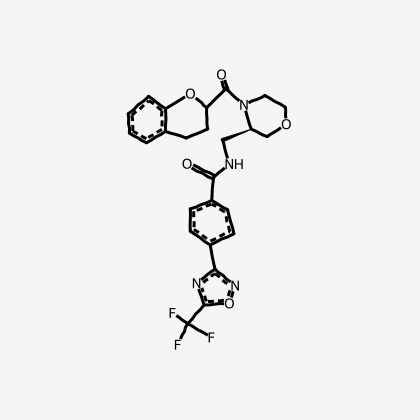 O=C(NC[C@@H]1COCCN1C(=O)C1CCc2ccccc2O1)c1ccc(-c2noc(C(F)(F)F)n2)cc1